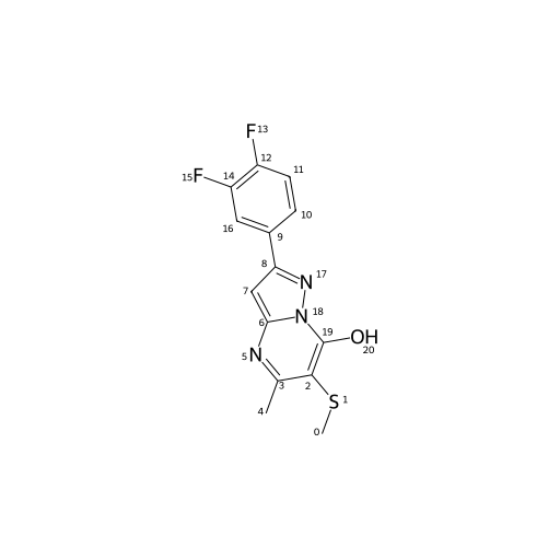 CSc1c(C)nc2cc(-c3ccc(F)c(F)c3)nn2c1O